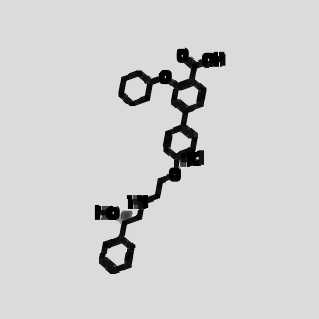 Cl.O=C(O)c1ccc(-c2ccc(OCCNC[C@@H](O)c3ccccc3)cc2)cc1OC1CCCCC1